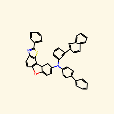 C1=C2Oc3ccc4nc(-c5ccccc5)sc4c3C2CC(N(c2ccc(-c3ccccc3)cc2)c2cccc(-c3ccc4ccccc4c3)c2)=C1